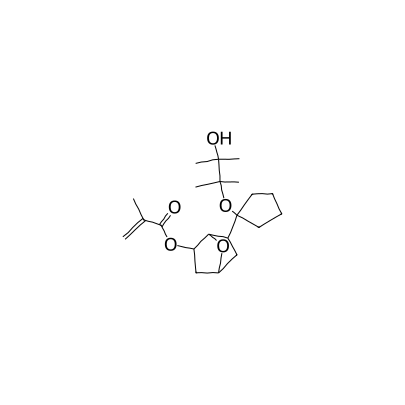 C=C(C)C(=O)OC1CC2CC(C3(OC(C)(C)C(C)(C)O)CCCC3)C1O2